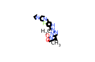 C[C@H](Nc1nccc(N2C(=O)OCC2(C)C2CC2)n1)c1ccc(CN2CCC(N3CCC3)CC2)c(F)c1